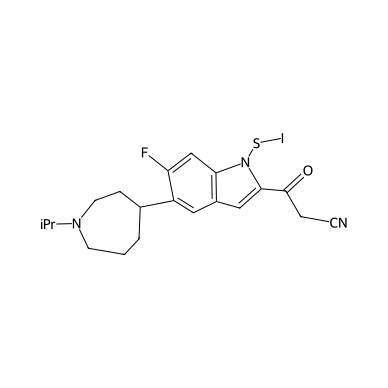 CC(C)N1CCCC(c2cc3cc(C(=O)CC#N)n(SI)c3cc2F)CC1